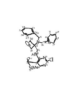 CNC(=O)c1cnc(Cl)nc1NCC1(N(Cc2ccccc2)Cc2ccccc2)COC1